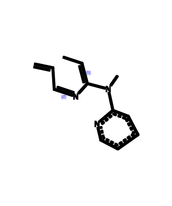 C=C/C=N\C(=C/C)N(C)c1ccccn1